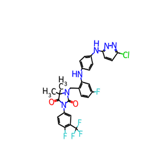 CC1(C)C(=O)N(c2ccc(F)c(C(F)(F)F)c2)C(=O)N1Cc1ccc(F)cc1Nc1ccc(Nc2ccc(Cl)nn2)cc1